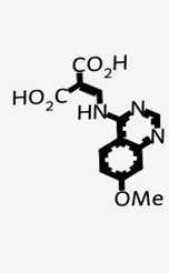 COc1ccc2c(NC=C(C(=O)O)C(=O)O)ncnc2c1